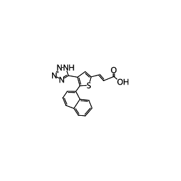 O=C(O)C=Cc1cc(-c2nnn[nH]2)c(-c2cccc3ccccc23)s1